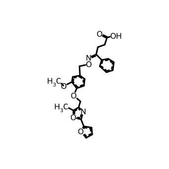 COc1cc(CON=C(CCC(=O)O)c2ccccc2)ccc1OCc1nc(-c2ccco2)oc1C